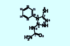 NC(=O)NN1NN=C(S)N1c1ccccc1